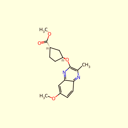 COC(=O)[C@H]1CC[C@H](Oc2nc3cc(OC)ccc3nc2C)C1